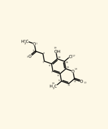 COC(=O)CCc1cc2c(C)cc(=O)oc2c(Cl)c1O